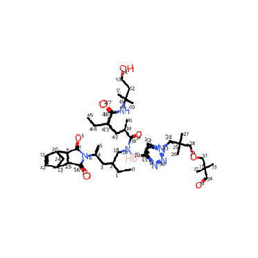 CCC(CC(C)N1C(=O)C2C3C=CC(C3)C2C1=O)CN(Bc1cn(CC(C)(C)COCC(C)(C)C=O)nn1)C(=O)C(C)CC(CC)C(=O)NC(C)(C)CCO